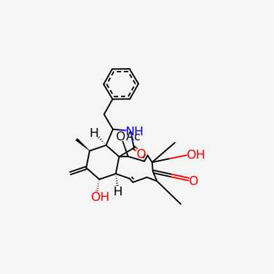 C=C1[C@@H](C)[C@H]2C(Cc3ccccc3)NC(=O)C23C(OC(C)=O)/C=C/C(C)(O)C(=O)C(C)C/C=C/[C@H]3[C@@H]1O